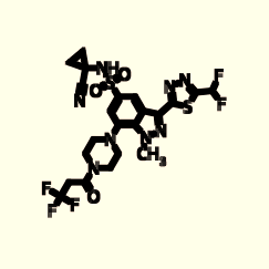 Cn1nc(-c2nnc(C(F)F)s2)c2cc(S(=O)(=O)NC3(C#N)CC3)cc(N3CCN(C(=O)CC(F)(F)F)CC3)c21